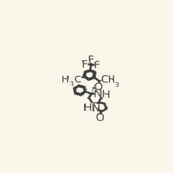 Cc1cc([C@H](C)OC[C@@]2(c3ccccc3)CC[C@]3(CCC(=O)N3)CN2)cc(C(F)(F)F)c1